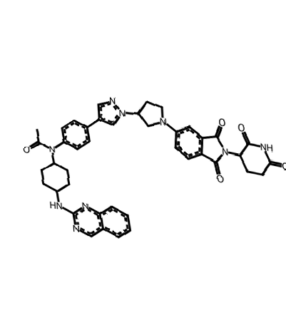 CC(=O)N(c1ccc(-c2cnn(C3CCN(c4ccc5c(c4)C(=O)N(C4CCC(=O)NC4=O)C5=O)C3)c2)cc1)C1CCC(Nc2ncc3ccccc3n2)CC1